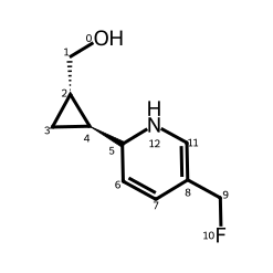 OC[C@H]1C[C@@H]1C1C=CC(CF)=CN1